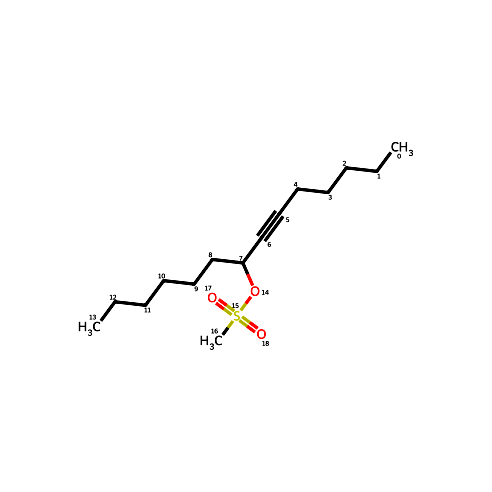 CCCCCC#CC(CCCCCC)OS(C)(=O)=O